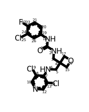 O=C(NCC1(CNc2c(Cl)cncc2Cl)COC1)Nc1ccc(F)c(Cl)c1